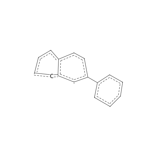 [c]1c(-c2ccccc2)ccc2ccccc12